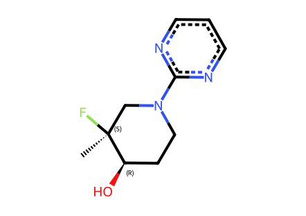 C[C@]1(F)CN(c2ncccn2)CC[C@H]1O